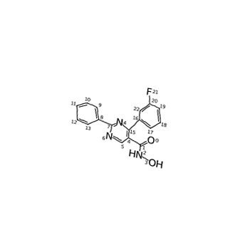 O=C(NO)c1cnc(-c2ccccc2)nc1-c1cccc(F)c1